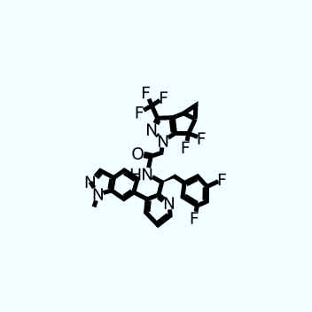 Cn1ncc2ccc(-c3cccnc3[C@H](Cc3cc(F)cc(F)c3)NC(=O)Cn3nc(C(F)(F)F)c4c3C(F)(F)C3CC43)cc21